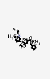 CC(=O)CC/N=c1/cc(N2CCOc3cc(C(=O)N(C)CC4CCCC4)cnc32)ccn1C